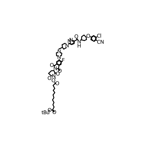 CC(C)(C)OC(=O)CCCCCCCCCCC(=O)OCN1C(=O)CCC(N2C(=O)c3cc(F)c(N4CCN(CC5CCN(c6ccc(C(=O)NC7CCC(Oc8ccc(C#N)c(Cl)c8)CC7)nn6)CC5)CC4)cc3C2=O)C1=O